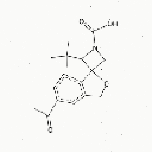 CC(=O)c1ccc2c(c1)COC21CN(C(=O)O)C1C(C)(C)C